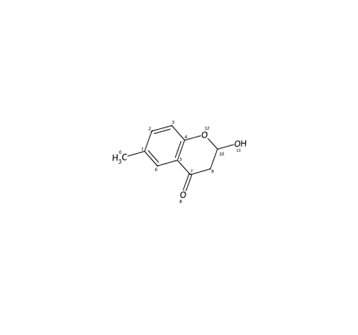 Cc1ccc2c(c1)C(=O)CC(O)O2